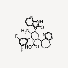 N[C@H]1C(n2c(=O)[nH]c3ncccc32)CC(C2CCCCc3cccnc32)N(C(=O)O)[C@H]1c1cc(F)cc(F)c1